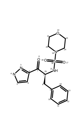 O=C(C1=N[N]C=C1)[C@H](Cc1ccccc1)NS(=O)(=O)N1CCOCC1